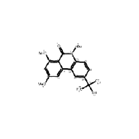 CCCCn1c(=O)c2c(OC)cc(OC)cc2c2cc(C(O)(C(F)(F)F)C(F)(F)F)ccc21